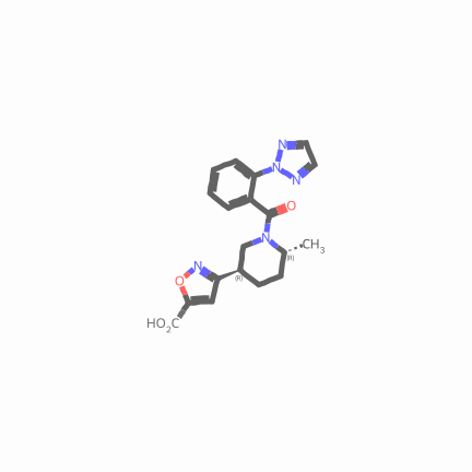 C[C@@H]1CC[C@@H](c2cc(C(=O)O)on2)CN1C(=O)c1ccccc1-n1nccn1